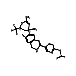 C[C@@]1(c2cc3c(cc2F)CNC(c2cnc(OC(F)F)cn2)=N3)C[C@@H](C(F)(F)F)OC(N)=N1